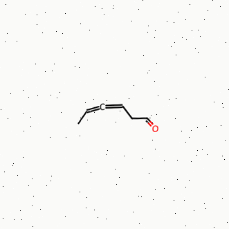 CC=C=CC[C]=O